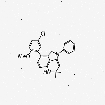 COc1ccc(Cl)cc1-c1ccc2c3c1CN(c1ccccc1)C3=CC(C)(C)N2